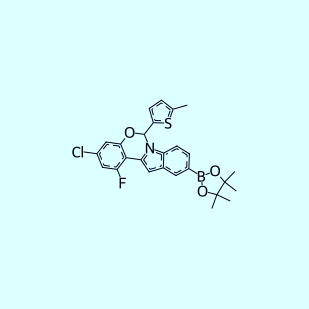 Cc1ccc(C2Oc3cc(Cl)cc(F)c3-c3cc4cc(B5OC(C)(C)C(C)(C)O5)ccc4n32)s1